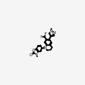 Cn1cc(-c2cc3c(cc2C(F)F)N(c2ccc4oc(=O)n(C)c4c2)CCC3)cn1